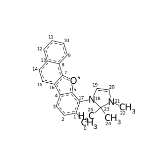 Cc1ccc2c(oc3c4ccccc4ccc23)c1N1C=CN(C)C1(C)C